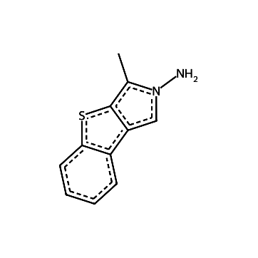 Cc1c2sc3ccccc3c2cn1N